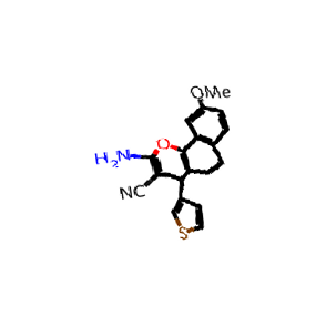 COc1ccc2c(c1)C1=C(CC2)C(c2ccsc2)C(C#N)=C(N)O1